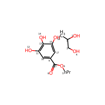 CC(O)CO.CCCOC(=O)c1cc(O)c(O)c(O)c1